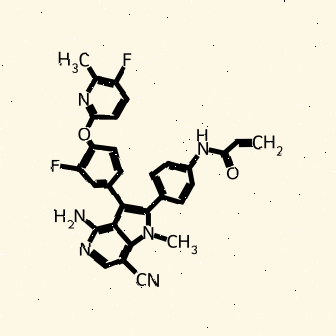 C=CC(=O)Nc1ccc(-c2c(-c3ccc(Oc4ccc(F)c(C)n4)c(F)c3)c3c(N)ncc(C#N)c3n2C)cc1